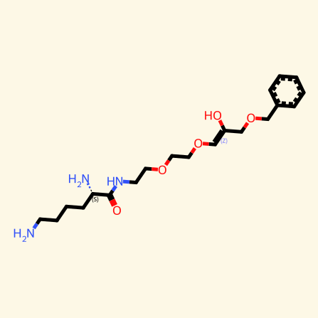 NCCCC[C@H](N)C(=O)NCCOCCO/C=C(\O)COCc1ccccc1